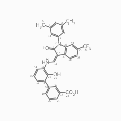 Cc1cc(C)cc(N2C(=O)C(=CNc3cccc(-c4cccc(C(=O)O)c4)c3O)c3ccc(C(F)(F)F)cc32)c1